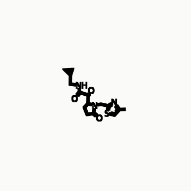 Cc1csc(CN2C(=O)CCC2C(=O)C(=O)NCC2CC2)n1